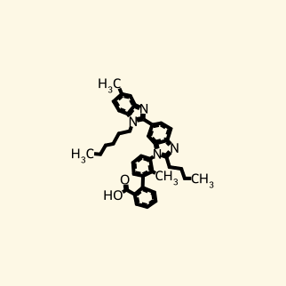 CCCCCCn1c(-c2ccc3nc(CCCC)n(-c4cccc(-c5ccccc5C(=O)O)c4C)c3c2)nc2cc(C)ccc21